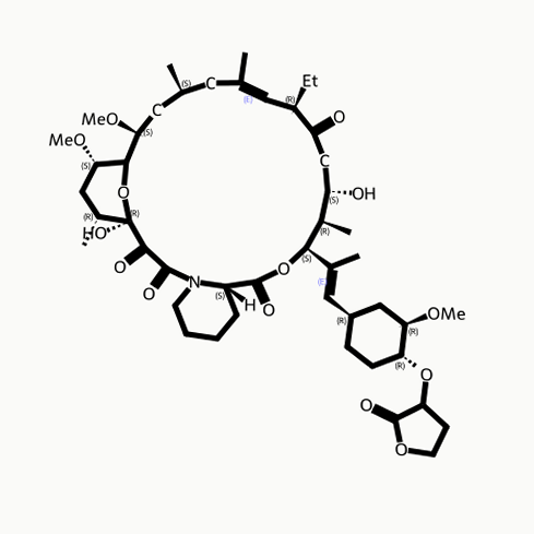 CC[C@@H]1/C=C(\C)C[C@H](C)C[C@H](OC)C2O[C@@](O)(C(=O)C(=O)N3CCCC[C@H]3C(=O)O[C@H](/C(C)=C/[C@@H]3CC[C@@H](OC4CCOC4=O)[C@H](OC)C3)[C@H](C)[C@@H](O)CC1=O)[C@H](C)C[C@@H]2OC